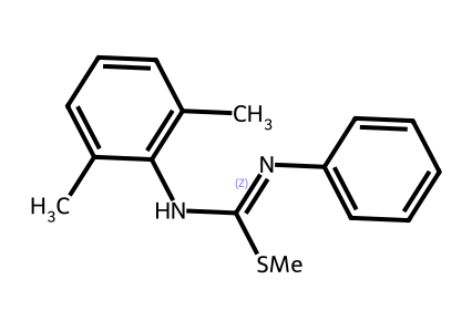 CS/C(=N\c1ccccc1)Nc1c(C)cccc1C